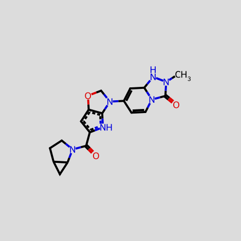 CN1NC2C=C(N3COc4cc(C(=O)N5CCC6CC65)[nH]c43)C=CN2C1=O